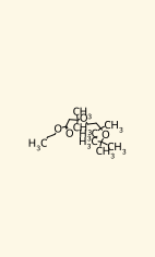 CCCOC(=O)CC(C)(C)OCCC(C)(C)OC(C)(C)C